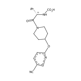 CC(C)[C@H](NC(=O)O)C(=O)N1CCC(Oc2ccc(C#N)cn2)CC1